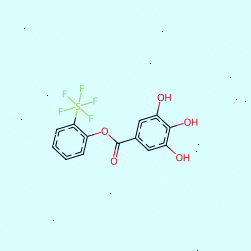 O=C(Oc1ccccc1S(F)(F)(F)(F)F)c1cc(O)c(O)c(O)c1